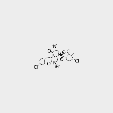 CC1C(Cl)CC=C(S(=O)(=O)N2CC(N(C)C)C(=O)N3C(Cc4ccc(Cl)cc4)C(=O)N(C(C)C)CC32)C1Cl